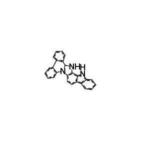 c1ccc2c(c1)-c1ccccc1N1c3ccc4c([nH]c5ccccc54)c3NC21